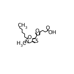 CCCCCCC(=O)N(C)Cc1csc(-c2coc(CCC(=O)O)c2)c1